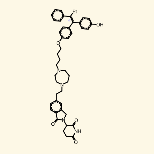 CC/C(=C(\c1ccc(O)cc1)c1ccc(OCCCCN2CCCN(CCc3ccc4c(c3)CN(C3CCC(=O)NC3=O)C4=O)CC2)cc1)c1ccccc1